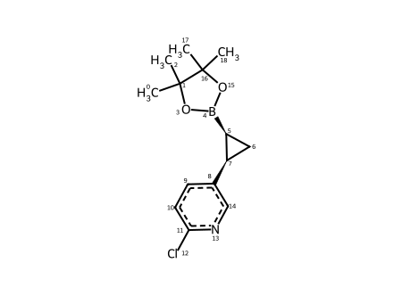 CC1(C)OB([C@H]2C[C@H]2c2ccc(Cl)nc2)OC1(C)C